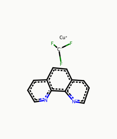 F[C-](F)F.[Cu+].c1cnc2c(c1)ccc1cccnc12